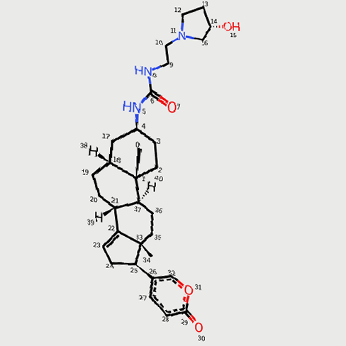 C[C@]12CC[C@H](NC(=O)NCCN3CC[C@H](O)C3)C[C@H]1CC[C@H]1C3=CC[C@H](c4ccc(=O)oc4)[C@@]3(C)CC[C@@H]12